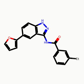 CCc1cccc(C(=O)Nc2n[nH]c3ccc(-c4ccco4)cc23)c1